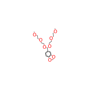 COCCOCCOC(OCCOCCOC)c1ccc2c(c1)OCO2